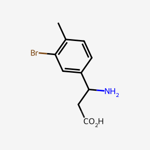 Cc1ccc(C(N)CC(=O)O)cc1Br